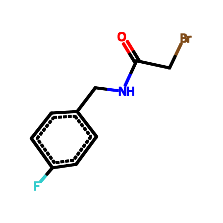 O=C(CBr)NCc1ccc(F)cc1